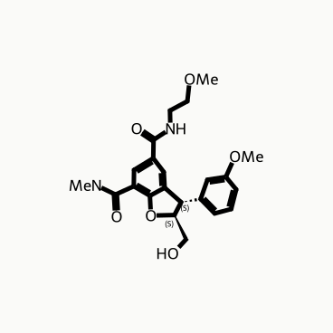 CNC(=O)c1cc(C(=O)NCCOC)cc2c1O[C@H](CO)[C@H]2c1cccc(OC)c1